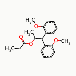 CCC(=O)OC(C)C(c1ccccc1OC)c1ccccc1OC